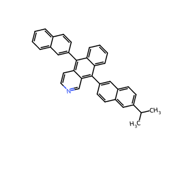 CC(C)c1ccc2cc(-c3c4ccccc4c(-c4ccc5ccccc5c4)c4ccncc34)ccc2c1